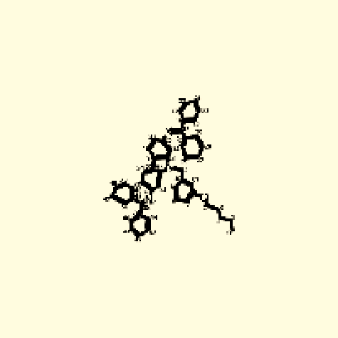 CCCCCOc1cccc(Cn2c3cc(N=C(c4ccccc4)c4ccccc4)ccc3c3ccc(N=C(c4ccccc4)c4ccccc4)cc32)c1